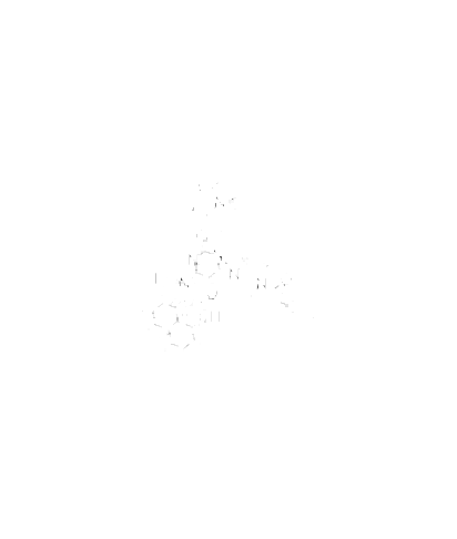 C=CC(=O)N1CCN(c2nc(OC[C@@H]3CCCN3C)nc3c2OCC(c2cccc4cccc(C)c24)N3C)CC1